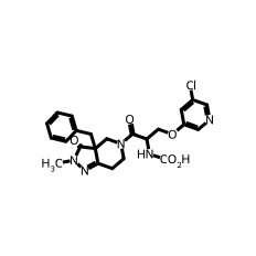 CN1N=C2CCN(C(=O)C(COc3cncc(Cl)c3)NC(=O)O)CC2(Cc2ccccc2)C1=O